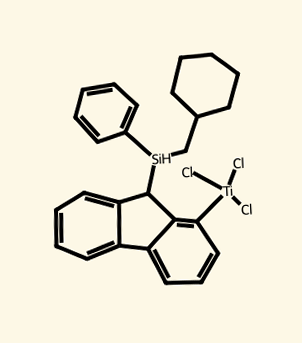 [Cl][Ti]([Cl])([Cl])[c]1cccc2c1C([SiH](CC1CCCCC1)c1ccccc1)c1ccccc1-2